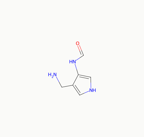 NCc1c[nH]cc1NC=O